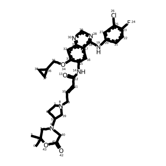 CC1(C)CN(C2CCN(CC=CC(=O)Nc3cc4c(Nc5ccc(F)c(Cl)c5)ncnc4cc3OCC3CC3)C2)CC(=O)O1